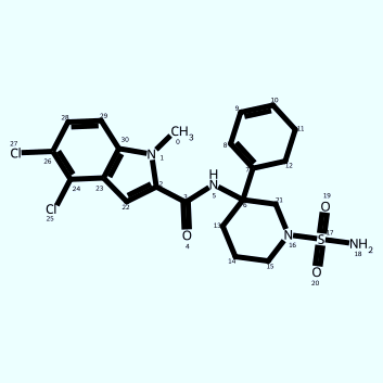 Cn1c(C(=O)NC2(C3=CC=CCC3)CCCN(S(N)(=O)=O)C2)cc2c(Cl)c(Cl)ccc21